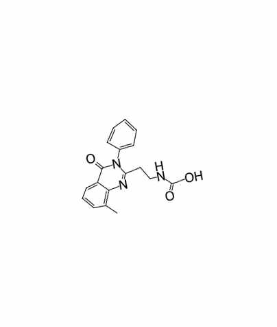 Cc1cccc2c(=O)n(-c3ccccc3)c(CCNC(=O)O)nc12